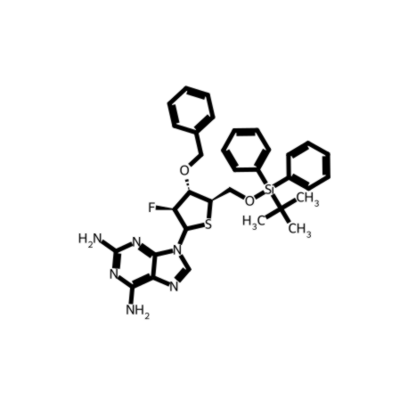 CC(C)(C)[Si](OC[C@H]1SC(n2cnc3c(N)nc(N)nc32)[C@@H](F)[C@@H]1OCc1ccccc1)(c1ccccc1)c1ccccc1